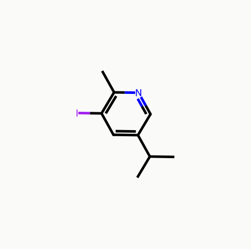 Cc1ncc(C(C)C)cc1I